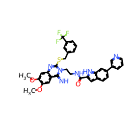 COc1cc2nc(SCc3cccc(C(F)(F)F)c3)n(CCNC(=O)c3cc4ccc(-c5cccnc5)cc4[nH]3)c(=N)c2cc1OC